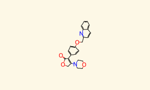 O=C1OCC(N2CCOCC2)=C1c1ccc(OCc2ccc3ccccc3n2)cc1